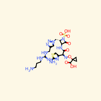 N=C(NCCCN)NCc1cn(C[C@H]2C(NC(=O)/C(=N\OC3(C(=O)O)CC3)c3csc(N)n3)C(=O)N2S(=O)(=O)O)nn1